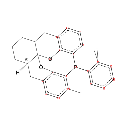 Cc1ccccc1P(c1ccccc1C)c1cccc2c1OC13Oc4c(cccc4P(c4ccccc4C)c4ccccc4C)C[C@H]1CCCC3C2